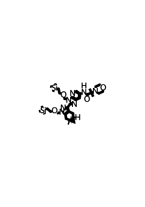 CC(C)(C(=O)Nc1cnc2c(c1)nc(-c1nn(COCC[Si](C)(C)C)c3c1C[C@@H]1C[C@]1(C)C3)n2COCC[Si](C)(C)C)N1CCOCC1